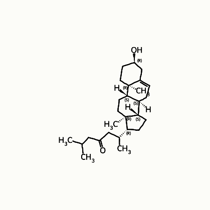 CC(C)CC(=O)CC(C)[C@H]1CC[C@H]2[C@@H]3CC=C4C[C@H](O)CC[C@]4(C)[C@H]3CC[C@]12C